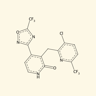 O=c1[nH]ccc(-c2noc(C(F)(F)F)n2)c1Cc1nc(C(F)(F)F)ccc1Cl